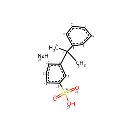 CC(C)(c1ccccc1)c1cccc(S(=O)(=O)O)c1.[NaH]